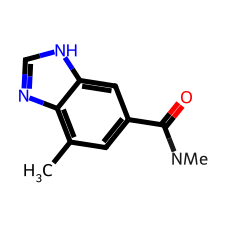 CNC(=O)c1cc(C)c2nc[nH]c2c1